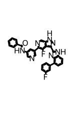 O=C(Nc1cncc(-c2ncc3[nH]nc(-c4nc5c(-c6cccc(F)c6)cccc5[nH]4)c3c2F)c1)c1ccccc1